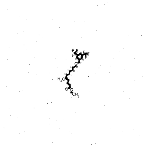 CCOC(=O)C=CC=C(C)CCCCCCOCc1cc(C(F)(F)F)cc(C(F)(F)F)c1